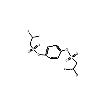 O=S(=O)(CC(F)F)Oc1ccc(OS(=O)(=O)CC(F)F)cc1